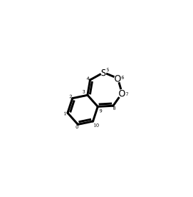 c1ccc2csoocc2c1